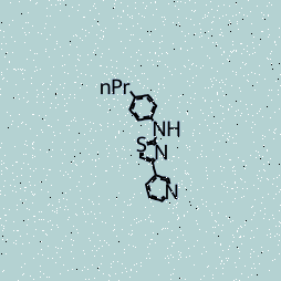 CCCc1ccc(Nc2nc(-c3cccnc3)cs2)cc1